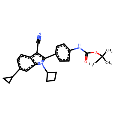 CC(C)(C)OC(=O)Nc1ccc(-c2c(C#N)c3ccc(C4CC4)cc3n2C2CCC2)cc1